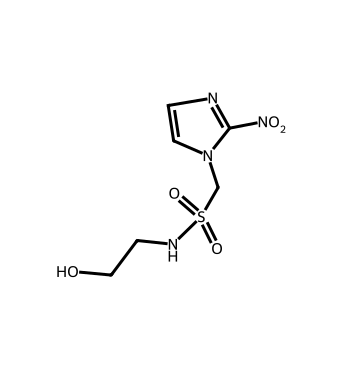 O=[N+]([O-])c1nccn1CS(=O)(=O)NCCO